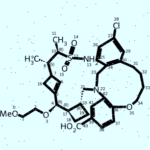 COCCO[C@@H](C1=CC([C@H](C)[C@@H](C)S(N)(=O)=O)C1)[C@@H]1CC[C@H]1CN1Cc2ccc(Cl)cc2CCCCOc2ccc(C(=O)O)cc21